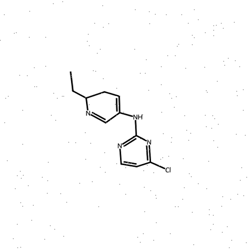 CCC1CC=C(Nc2nccc(Cl)n2)C=N1